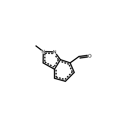 Cn1cc2cccc(C=O)c2n1